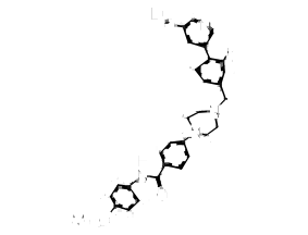 CCOc1cncc(-c2ccc(CN3CCN(c4ccc(C(=O)Nc5ccc(OC)cc5)cc4)CC3)cc2F)c1